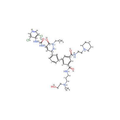 CCn1nc(-c2cccc(-c3cc(C(=O)NCCCN(C)CCO)cc(C(=O)NCCN4CCCCC4)c3)c2)cc(NC(=O)Nc2c(Cl)cncc2Cl)c1=O